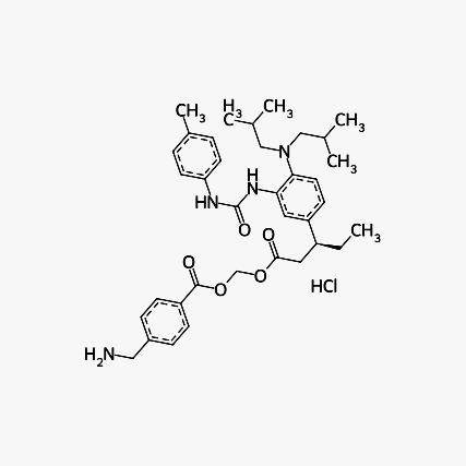 CC[C@@H](CC(=O)OCOC(=O)c1ccc(CN)cc1)c1ccc(N(CC(C)C)CC(C)C)c(NC(=O)Nc2ccc(C)cc2)c1.Cl